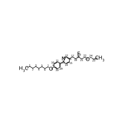 CCCCCCCCOc1ccc(-c2ccc(CCC(F)CCOCCC)cn2)cc1